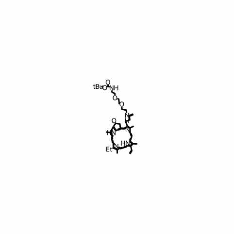 C=Cc1c(C)c2cc3nc(c4c5[nH]c(cc6nc(cc1[nH]2)C(C)=C6CC)c(C)c5C(=O)C4)C(CCC(=C)NCCOCCOCCNC(=O)OC(C)(C)C)=C3C